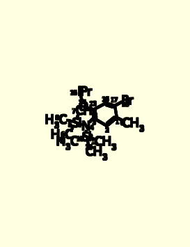 Cc1cc(N([Si](C)(C)C)[Si](C)(C)C)c(OC(C)C)cc1Br